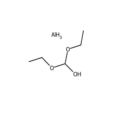 CCOC(O)OCC.[AlH3]